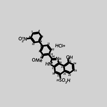 COc1cc(-c2cccc([N+](=O)[O-])c2)ccc1-c1nc2c(cc(S(=O)(=O)O)c3cccc(O)c32)[nH]1.Cl